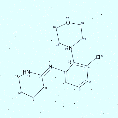 Clc1cccc(/N=C2\CCCCN2)c1N1CCOCC1